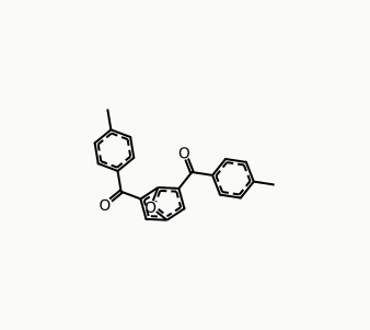 Cc1ccc(C(=O)c2cc3cc(C(=O)c4ccc(C)cc4)c2o3)cc1